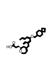 C=C\C(=C/C(=C\C=C\C)OCC1CCC2(CCC2)CC1)CC1=CCCO[C@@H](CCC(=O)O)C1